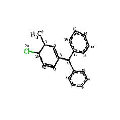 CC1C=C(C(c2ccccc2)c2ccccc2)C=CC1Cl